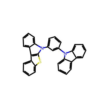 c1cc(-n2c3ccccc3c3ccccc32)cc(-n2c3ccccc3c3c4ccccc4sc32)c1